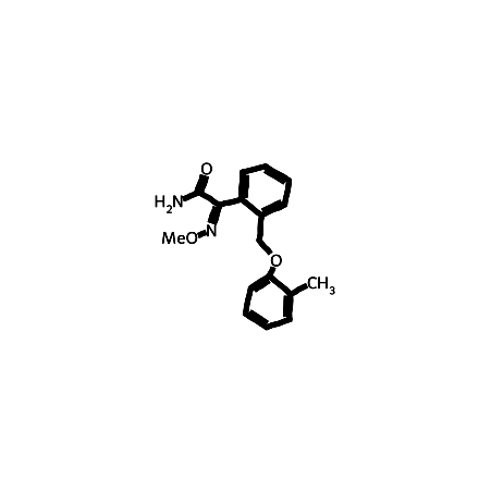 CON=C(C(N)=O)c1ccccc1COc1ccccc1C